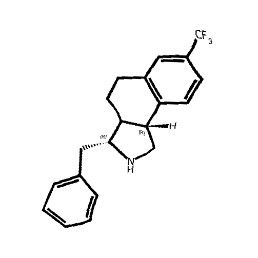 FC(F)(F)c1ccc2c(c1)CCC1[C@@H](Cc3ccccc3)NC[C@@H]21